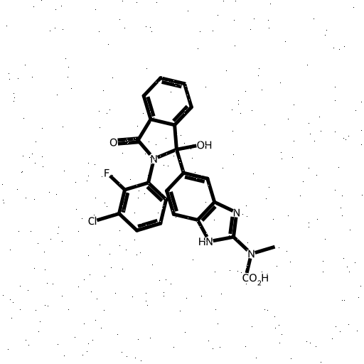 CN(C(=O)O)c1nc2cc(C3(O)c4ccccc4C(=O)N3c3cccc(Cl)c3F)ccc2[nH]1